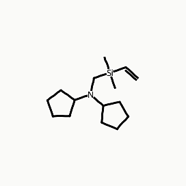 C=C[Si](C)(C)CN(C1CCCC1)C1CCCC1